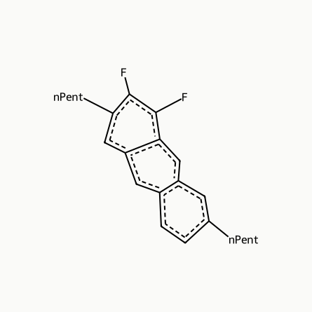 CCCCCc1ccc2cc3cc(CCCCC)c(F)c(F)c3cc2c1